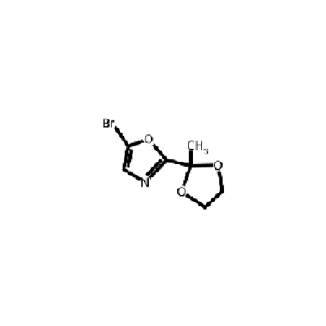 CC1(c2ncc(Br)o2)OCCO1